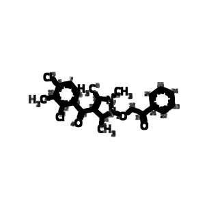 CC1=C(C(=O)c2ccc(Cl)c(C)c2Cl)C(C)N(OCC(=O)c2ccccc2)N1C